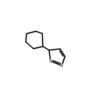 C1=C[C](C2CCCCC2)N=N1